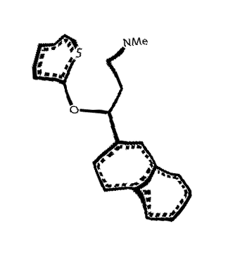 CNCCC(Oc1cccs1)c1ccc2ccccc2c1